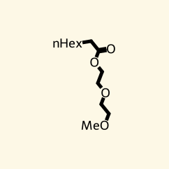 CCCCCCCC(=O)OCCOCCOC